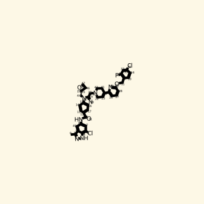 Cc1n[nH]c2c(Cl)cc(NC(=O)c3ccc4c(c3)nc(CN3CC=C(c5cccc(OCc6ccc(Cl)cc6F)n5)CC3)n4C[C@@H]3CCO3)cc12